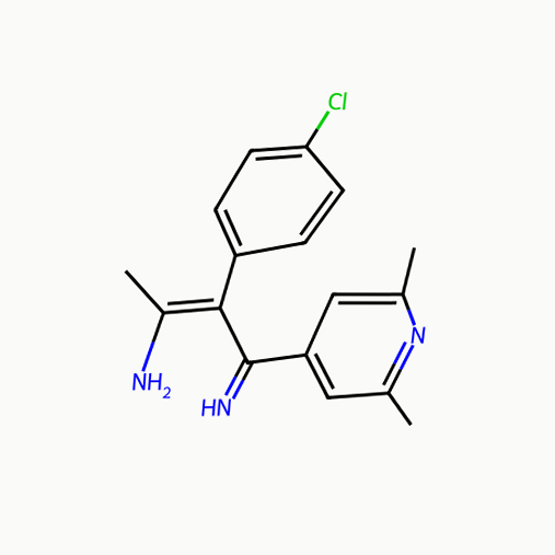 C/C(N)=C(/C(=N)c1cc(C)nc(C)c1)c1ccc(Cl)cc1